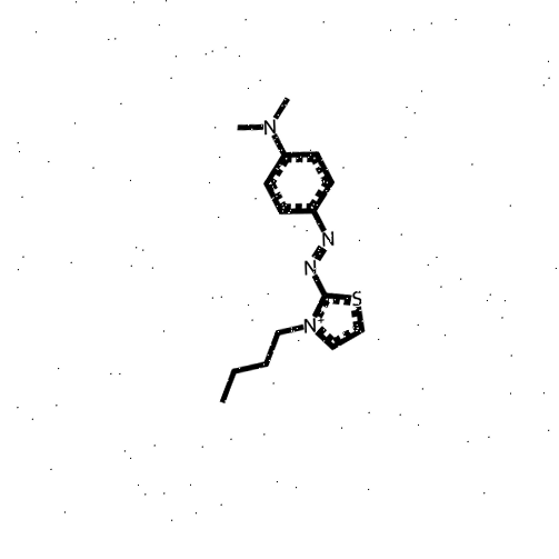 CCCC[n+]1ccsc1N=Nc1ccc(N(C)C)cc1